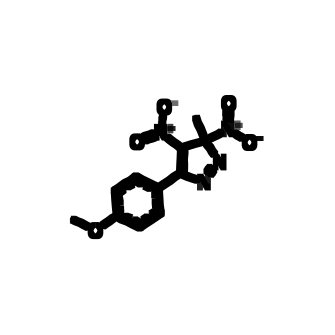 COc1ccc(C2=C([N+](=O)[O-])C(C)([N+](=O)[O-])N=N2)cc1